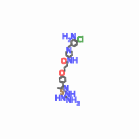 Cc1sc(NC(=N)N)nc1-c1ccc(OCCCC(=O)NC2CCN(Cc3ccc(Cl)c(N)c3)CC2)cc1